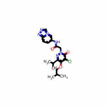 CC(C)COc1c(C(C)C)nn(CC(=O)Nc2ccc3nncn3c2)c(=O)c1Cl